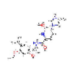 CCOc1cc2c(cc1C(C)C)[C@@H](NC(=O)c1ccc(-n3cnc(C)c3)c(OC)n1)CO2